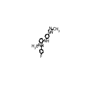 Cc1ncn(-c2ccc(Nc3cccc4c3nc(-c3ccc(F)cc3)n4C)cc2)n1